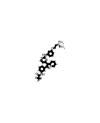 CN(C)CCOc1cccc(Nc2nccc(-c3c(-c4cccc(NC(=O)C(F)(F)F)c4)nn4ccccc34)n2)c1